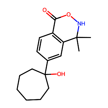 CC1(C)NOC(=O)c2ccc(C3(O)CCCCCC3)cc21